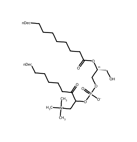 CCCCCCCCCCCCCCCCCC(=O)O[C@H](CO)COP(=O)([O-])OC(C[N+](C)(C)C)C(=O)CCCCCCCCCCCCCCC